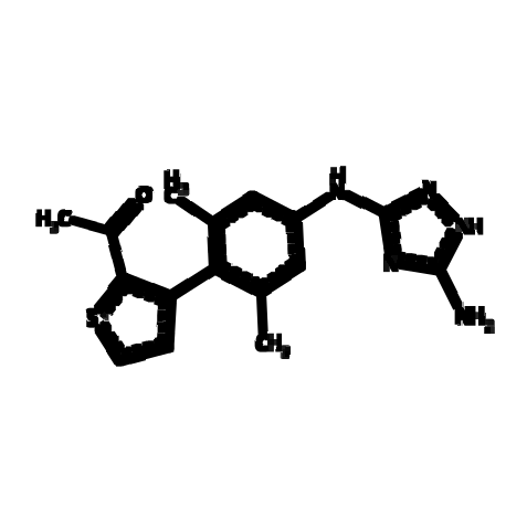 CC(=O)c1sccc1-c1c(C)cc(Nc2n[nH]c(N)n2)cc1C